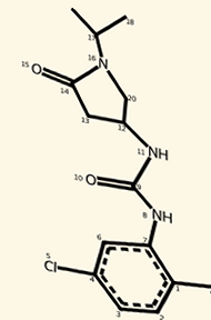 Cc1ccc(Cl)cc1NC(=O)NC1CC(=O)N(C(C)C)C1